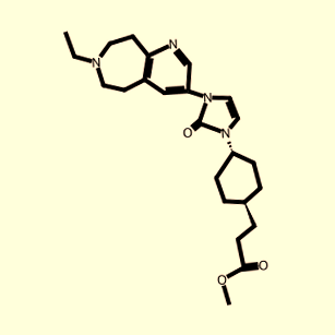 CCN1CCc2cc(-n3ccn([C@H]4CC[C@H](CCC(=O)OC)CC4)c3=O)cnc2CC1